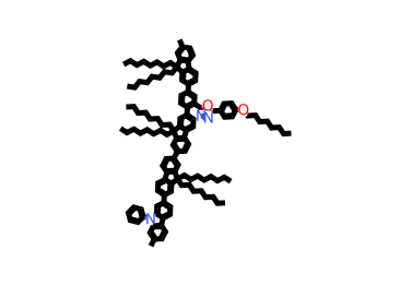 CCCCCCCCOc1ccc(-c2nnc(-c3cc(-c4ccc5c(c4)C(CCCCCCCC)(CCCCCCCC)c4cc(C)ccc4-5)ccc3-c3ccc4c(c3)C(CCCCCCCC)(CCCCCCCC)c3cc(-c5ccc6c(c5)C(CCCCCCCC)(CCCCCCCC)c5cc(-c7ccc8c9ccc(C)cc9n(-c9ccccc9)c8c7)ccc5-6)ccc3-4)o2)cc1